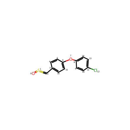 O=S=Cc1ccc(Oc2ccc(Cl)cc2)cc1